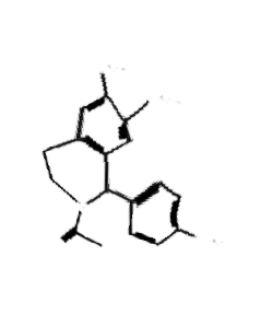 COc1ccc(C2c3cc(OC)c(OC)cc3CCN2C(=O)Cl)cc1